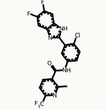 Cc1nc(C(F)(F)F)ccc1C(=O)Nc1ccc(Cl)c(-c2nc3cc(F)c(F)cc3[nH]2)c1